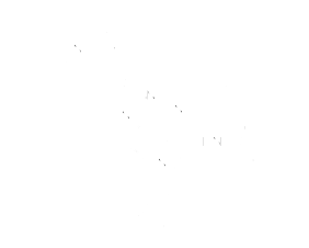 C#Cc1c(F)ccc2c1[C@@H](c1ncc3c(N4CCOC[C@H](NC(=O)C=C)C4)nc(OCC4(CN5CCOCC5)CC4)nc3c1F)CCC2